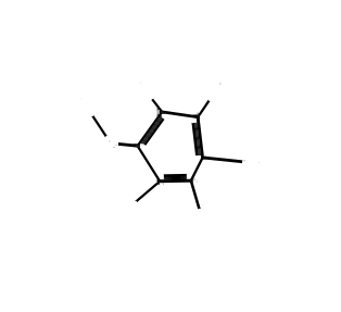 [F][Al][c]1c(F)c(F)c(F)c(F)c1F